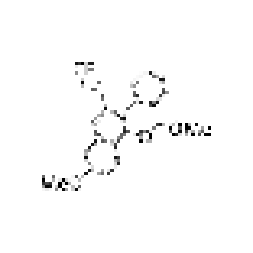 COCOc1c(-c2ccccc2)c(CCC(F)(F)F)cc2cc(OC)ccc12